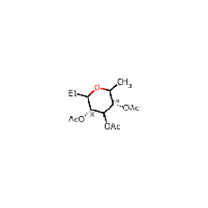 CCC1OC(C)[C@H](OC(C)=O)C(OC(C)=O)[C@@H]1OC(C)=O